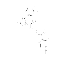 O=C(CCCC(=O)N1COC[C@H]1c1ccccc1)c1ccc(F)cc1